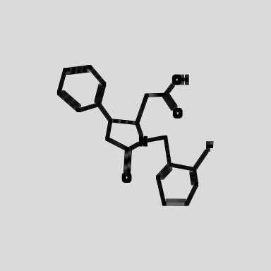 O=C(O)CC1C(c2ccccc2)CC(=O)N1Cc1ccccc1F